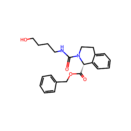 O=C(OCc1ccccc1)[C@H]1c2ccccc2CCN1C(=O)NCCCCO